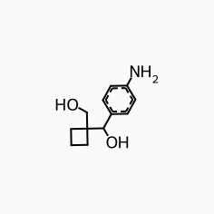 Nc1ccc(C(O)C2(CO)CCC2)cc1